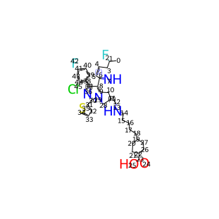 CC(F)C/C=C\C(=N)C1=C2C[C@H](CNCCCCCC3CCC(C(=O)O)CC3)CN2C(C2CC=CS2)=N[C@H]1c1ccc(F)cc1Cl